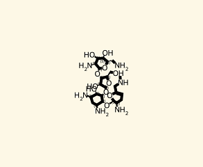 CNCC1=CC[C@@H](N)[C@@H](O[C@H]2[C@H](O[C@@H]3O[C@H](CO)[C@@H](O[C@H]4O[C@@H](CN)[C@@H](O)[C@H](O)[C@H]4N)[C@H]3O)[C@@H](O)[C@H](N)C[C@@H]2N)O1